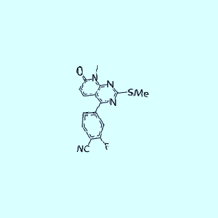 CSc1nc(-c2ccc(C#N)c(F)c2)c2ccc(=O)n(C)c2n1